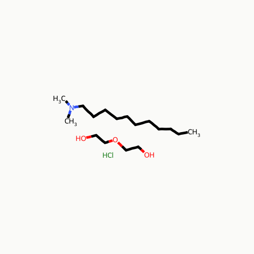 CCCCCCCCCCCN(C)C.Cl.OCCOCCO